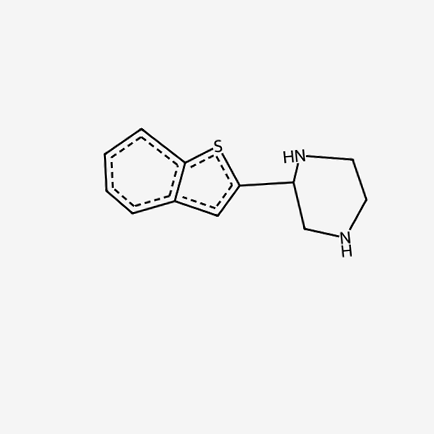 c1ccc2sc(C3CNCCN3)cc2c1